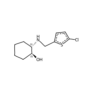 O[C@H]1CCCC[C@@H]1NCc1ccc(Cl)s1